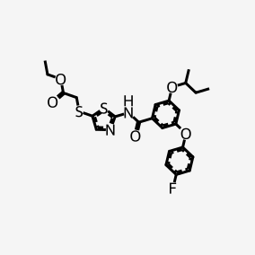 CCOC(=O)CSc1cnc(NC(=O)c2cc(Oc3ccc(F)cc3)cc(OC(C)CC)c2)s1